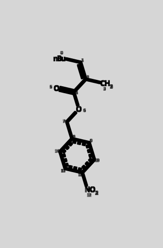 CCCC/C=C(/C)C(=O)OCc1ccc([N+](=O)[O-])cc1